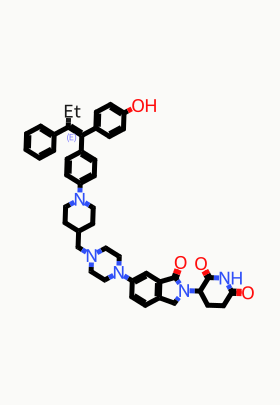 CC/C(=C(\c1ccc(O)cc1)c1ccc(N2CCC(CN3CCN(c4ccc5c(c4)C(=O)N(C4CCC(=O)NC4=O)C5)CC3)CC2)cc1)c1ccccc1